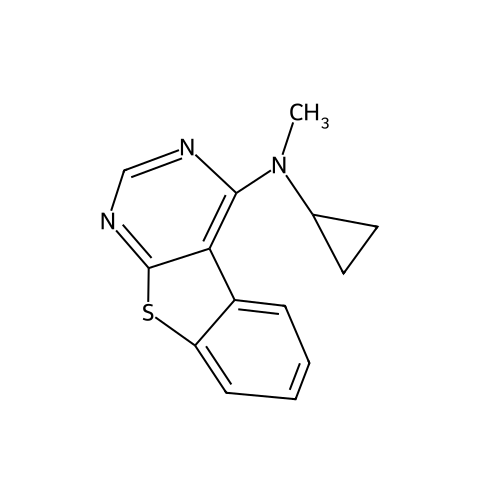 CN(c1ncnc2sc3ccccc3c12)C1CC1